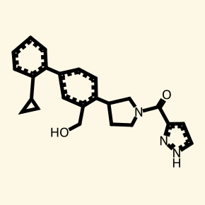 O=C(c1cc[nH]n1)N1CCC(c2ccc(-c3ccccc3C3CC3)cc2CO)C1